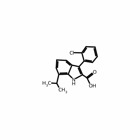 CC(C)c1cccc2c(-c3ccccc3Cl)c(C(=O)O)[nH]c12